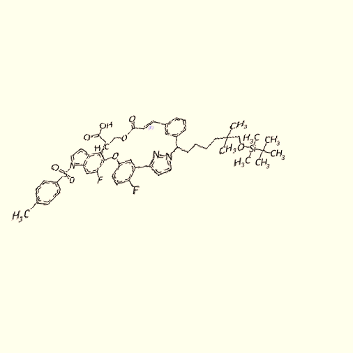 CCOC(=O)/C=C/c1cccc(C(CCCCC(C)(C)CO[Si](C)(C)C(C)(C)C)n2ccc(-c3cc(Oc4c(F)cc5c(ccn5S(=O)(=O)c5ccc(C)cc5)c4CC(=O)O)ccc3F)n2)c1